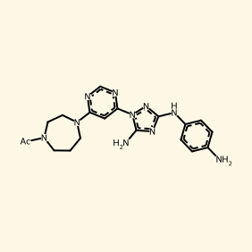 CC(=O)N1CCCN(c2cc(-n3nc(Nc4ccc(N)cc4)nc3N)ncn2)CC1